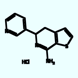 Cl.NC1=NC(c2cccnc2)Cc2ccsc21